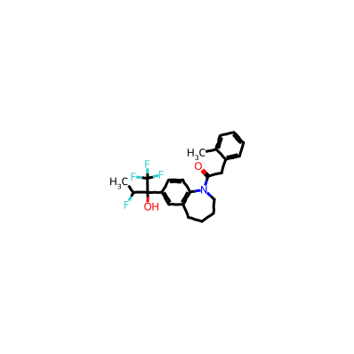 Cc1ccccc1CC(=O)N1CCCCc2cc(C(O)(C(C)F)C(F)(F)F)ccc21